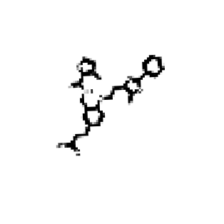 Cc1ccsc1C(=O)NCc1cc(CCC(=O)O)ccc1OCCc1nc(-c2ccccc2)oc1C